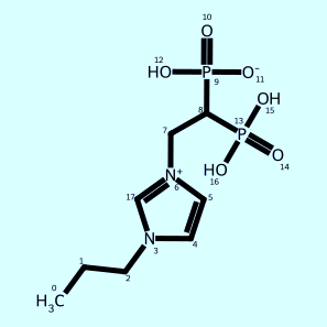 CCCn1cc[n+](CC(P(=O)([O-])O)P(=O)(O)O)c1